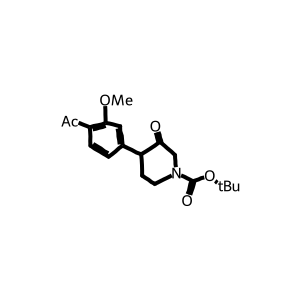 COc1cc(C2CCN(C(=O)OC(C)(C)C)CC2=O)ccc1C(C)=O